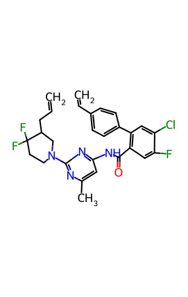 C=CCC1CN(c2nc(C)cc(NC(=O)c3cc(F)c(Cl)cc3-c3ccc(C=C)cc3)n2)CCC1(F)F